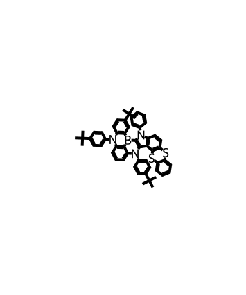 CC(C)(C)c1ccc(N2c3ccc(C(C)(C)C)cc3B3c4c2cccc4N(c2ccc(C(C)(C)C)cc2)c2c3n(-c3ccccc3)c3ccc4c(c23)Sc2ccccc2S4)cc1